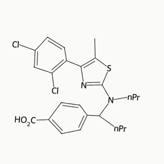 CCCC(c1ccc(C(=O)O)cc1)N(CCC)c1nc(-c2ccc(Cl)cc2Cl)c(C)s1